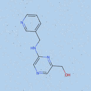 OCc1cncc(NCc2cccnc2)n1